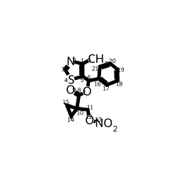 Cc1ncsc1C(OC(=O)C1(CO[N+](=O)[O-])CC1)c1ccccc1